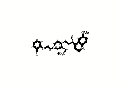 COc1ccc2nccc([C@@H](F)CC[C@@H]3CCN(CCSc4ccccc4F)C[C@@H]3CC(=O)O)c2c1